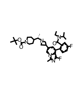 CCN(C(=O)c1cc(F)ccc1-c1cc(C2CN([C@@H](C)C3CCN(C(=O)OC(C)(C)C)CC3)C2)cn2c(C)nc(F)c12)C(C)C